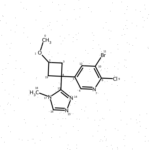 COC1CC(c2cnc(Cl)c(Br)c2)(c2nncn2C)C1